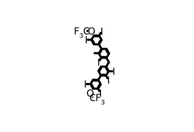 Cc1c(-c2cc(I)c(OC(F)(F)F)c(I)c2)ccc(Cc2ccc(-c3cc(I)c(OC(F)(F)F)c(I)c3)c(I)c2I)c1I